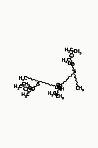 CCCCCCCCC(CCCCCCCCCOP(=O)(NCCN(C)C)OCCCCCCCCCC(CCCCCCCC)SCCCOC(=O)CC(C)c1ccc(C(C)C)cc1)SCCCOC(=O)CC(C)C1=CC=C(C(C)C)CC1